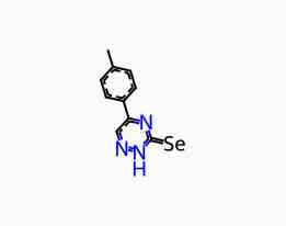 Cc1ccc(-c2cn[nH]c(=[Se])n2)cc1